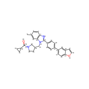 Cc1ccc2nc(-c3ccc(-c4ccc5occc5c4)cc3)n(CC3CCN(C(=O)C4CC4)C3)c2c1